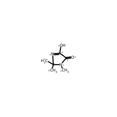 CN1C(=O)C(O)=NC1(C)C